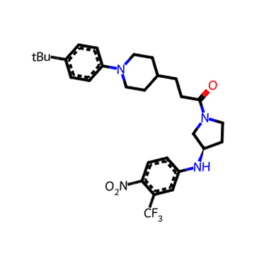 CC(C)(C)c1ccc(N2CCC(CCC(=O)N3CC[C@@H](Nc4ccc([N+](=O)[O-])c(C(F)(F)F)c4)C3)CC2)cc1